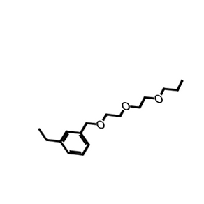 CCCOCCOCCOCc1cccc(CC)c1